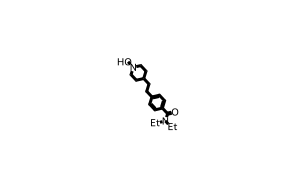 CCN(CC)C(=O)c1ccc(CCC2CCN(O)CC2)cc1